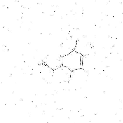 CC(=O)OCC1CC(C)C=CC1C